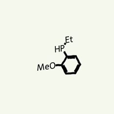 CCPc1ccccc1OC